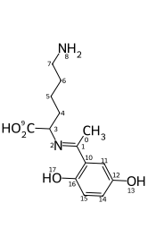 CC(=NC(CCCCN)C(=O)O)c1cc(O)ccc1O